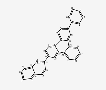 c1ccc(-c2ccc3c4ccc(-c5ccc6ccccc6n5)cc4c4ccccc4c3c2)nc1